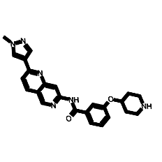 Cn1cc(-c2ccc3cnc(NC(=O)c4cccc(OC5CCNCC5)c4)cc3n2)cn1